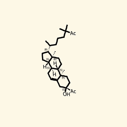 CC(=O)C(C)(C)CCCC(C)[C@H]1CC[C@H]2[C@@H]3CC=C4C[C@](O)(C(C)=O)CC[C@]4(C)[C@H]3CC[C@]12C